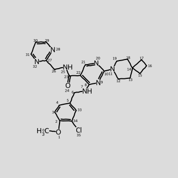 COc1ccc(CNc2nc(N3CCC4(CCC4)CC3)ncc2C(=O)NCc2ncccn2)cc1Cl